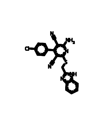 N#Cc1c(N)nc(SCc2nc3ccccc3[nH]2)c(C#N)c1-c1ccc(Cl)cc1